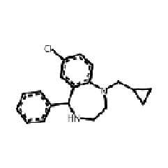 Clc1ccc2c(c1)C(c1ccccc1)NCCN2CC1CC1